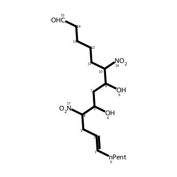 CCCCC/C=C/CC(C(O)CC(O)C(CCCC[C]=O)[N+](=O)[O-])[N+](=O)[O-]